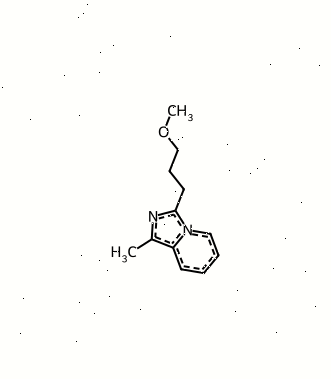 COCCCc1nc(C)c2ccccn12